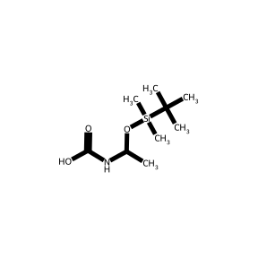 CC(NC(=O)O)O[Si](C)(C)C(C)(C)C